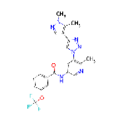 Cc1ncc(NC(=O)c2cccc(OC(F)(F)F)c2)cc1-n1cc(-c2cnn(C)c2C)nn1